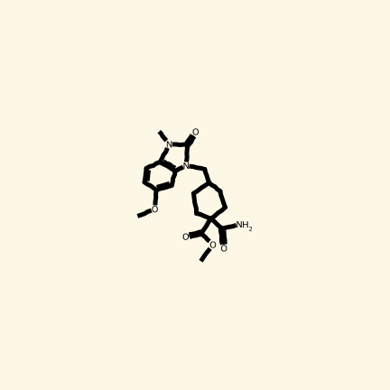 COC(=O)C1(C(N)=O)CCC(Cn2c(=O)n(C)c3ccc(OC)cc32)CC1